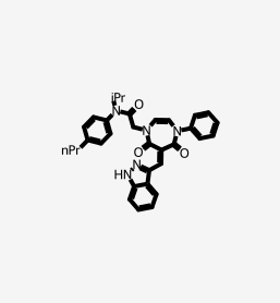 CCCc1ccc(N(C(=O)CN2C=CN(c3ccccc3)C(=O)C(=Cc3n[nH]c4ccccc34)C2=O)C(C)C)cc1